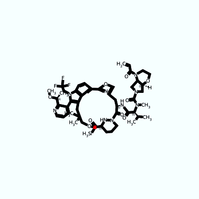 C=CC(=O)N1CCO[C@H]2CN(C(=O)N(C)[C@H](C(=O)N[C@H]3Cc4coc(n4)-c4ccc5c(c4)c(c(-c4cccnc4[C@H](C)OC)n5CC(F)(F)F)CC(C)(C)COC[C@]4(C(=O)[SiH3])CCCN(N4)C3=O)C(C)C)CC21